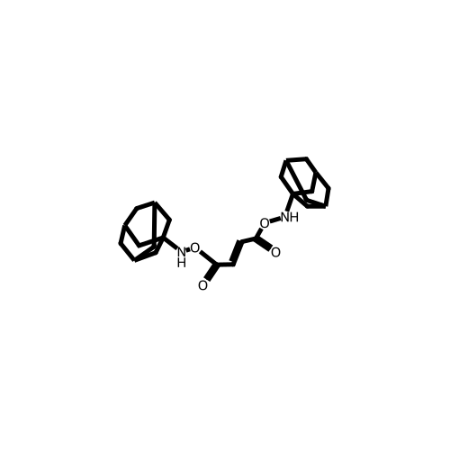 O=C(/C=C/C(=O)ONC12CC3CC(CC(C3)C1)C2)ONC12CC3CC(CC(C3)C1)C2